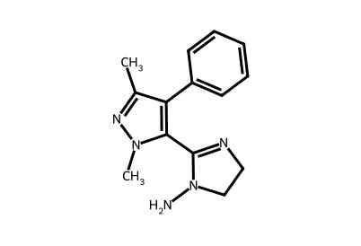 Cc1nn(C)c(C2=NCCN2N)c1-c1ccccc1